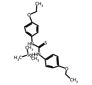 CCOc1ccc(NC(=S)Nc2ccc(OCC)cc2)cc1.[CH3][SnH]([CH3])[CH3]